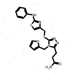 NC(=O)CCc1nnc(SCc2csc(Nc3ccccc3)n2)n1Cc1ccco1